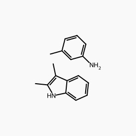 Cc1[nH]c2ccccc2c1C.Cc1cccc(N)c1